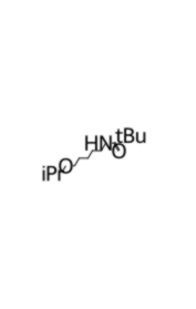 CC(C)OCCCCCNC(=O)C(C)(C)C